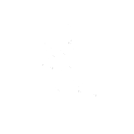 CN[C@@H](C)C(=O)NC(C(=O)N1C[C@@H](NC(=O)c2cc(N=O)cc(C(=O)N[C@@H]3CNC(C=O)C3)c2)CC1C(=O)N[C@@H]1CCCc2ccccc21)C(C)(C)C